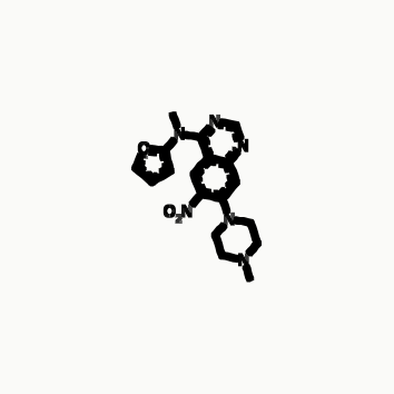 CN1CCN(c2cc3ncnc(N(C)c4ccco4)c3cc2[N+](=O)[O-])CC1